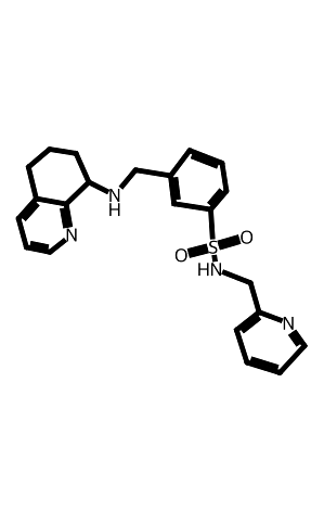 O=S(=O)(NCc1ccccn1)c1cccc(CNC2CCCc3cccnc32)c1